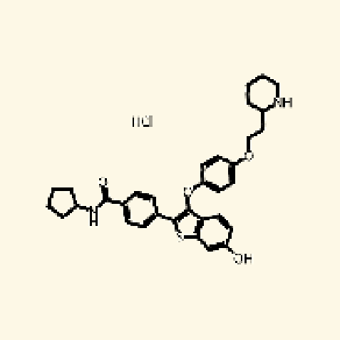 Cl.O=C(NC1CCCC1)c1ccc(-c2sc3cc(O)ccc3c2Oc2ccc(OCCC3CCCCN3)cc2)cc1